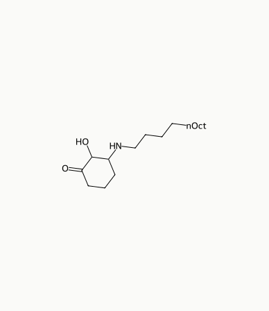 CCCCCCCCCCCCNC1CCCC(=O)C1O